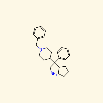 NCC(c1ccccc1)(C1CCCC1)C1CCN(Cc2ccccc2)CC1